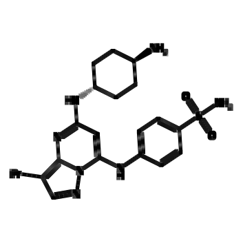 CC(C)c1cnn2c(Nc3ccc(S(N)(=O)=O)cc3)cc(N[C@H]3CC[C@H](N)CC3)nc12